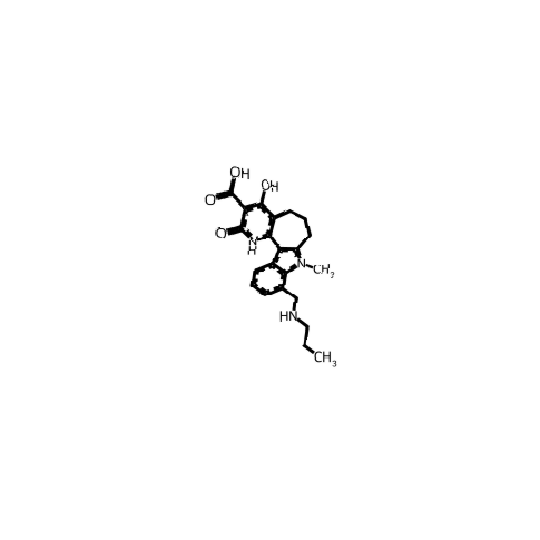 CCCNCc1cccc2c3c(n(C)c12)CCCc1c-3[nH]c(=O)c(C(=O)O)c1O